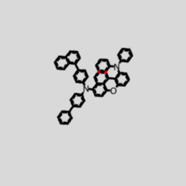 c1ccc(-c2ccc(N(c3ccc(-c4cccc5ccccc45)cc3)c3ccc4c5c(cccc35)-c3c(cccc3N(c3ccccc3)c3ccccc3)O4)cc2)cc1